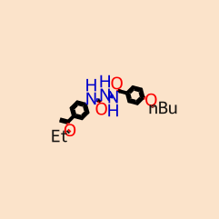 C=C(OCC)c1ccc(NC(=O)NNC(=O)c2ccc(OCCCC)cc2)cc1